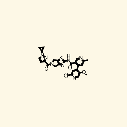 COc1cnc(Cl)cc1-c1cc(C)ncc1C(=O)Nc1nc2c(s1)CN(C(=O)c1ccn(C3CC3)n1)C2